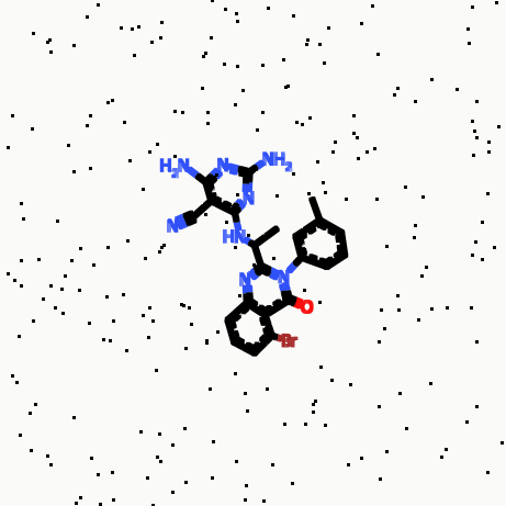 Cc1cccc(-n2c(C(C)Nc3nc(N)nc(N)c3C#N)nc3cccc(Br)c3c2=O)c1